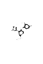 CCCCn1cc(-c2cc(NS(C)(=O)=O)ccc2Oc2ccc(F)cc2F)cc(C)c1=O